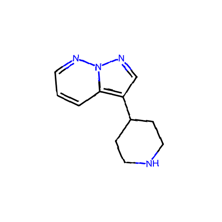 c1cnn2ncc(C3CCNCC3)c2c1